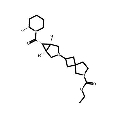 CCOC(=O)N1CCC2(CC(N3C[C@@H]4[C@H](C3)[C@H]4C(=O)N3CCCC[C@H]3C)C2)C1